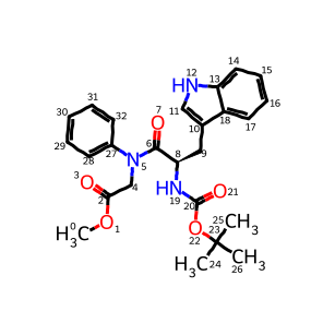 COC(=O)CN(C(=O)[C@@H](Cc1c[nH]c2ccccc12)NC(=O)OC(C)(C)C)c1ccccc1